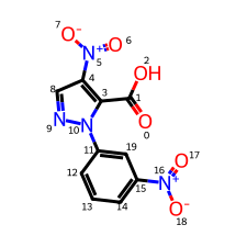 O=C(O)c1c([N+](=O)[O-])cnn1-c1cccc([N+](=O)[O-])c1